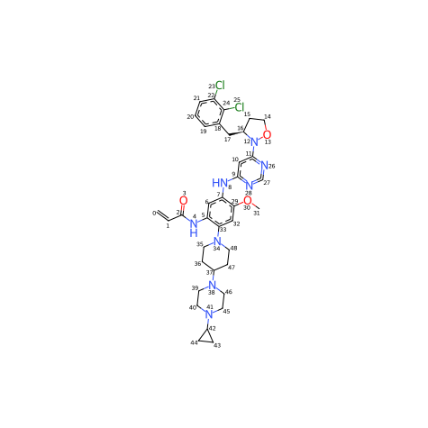 C=CC(=O)Nc1cc(Nc2cc(N3OCC[C@@H]3Cc3cccc(Cl)c3Cl)ncn2)c(OC)cc1N1CCC(N2CCN(C3CC3)CC2)CC1